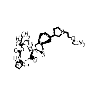 COCCN1CCC(c2ccc(C[C@@H](C#N)NC(=O)[C@@H]3[C@H]4CC[C@H](C4)N3C(=O)OC(C)(C)C)c(F)c2)C1